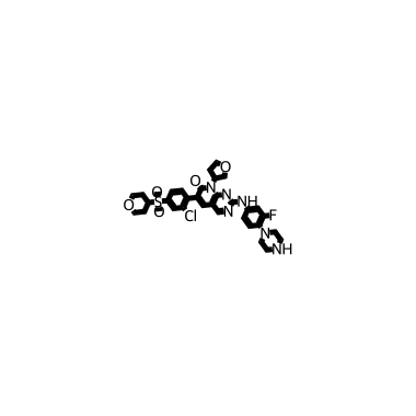 O=c1c(-c2ccc(S(=O)(=O)C3CCOCC3)cc2Cl)cc2cnc(Nc3ccc(N4CCNCC4)c(F)c3)nc2n1C1CCOC1